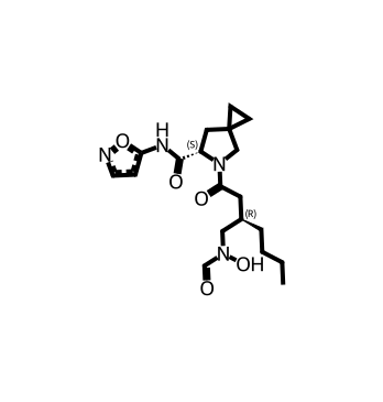 CCCC[C@H](CC(=O)N1CC2(CC2)C[C@H]1C(=O)Nc1ccno1)CN(O)C=O